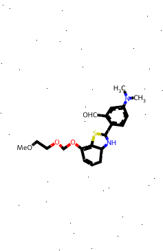 COCCOCOC1=C2SC(c3ccc(N(C)C)cc3C=O)NC2CC=C1